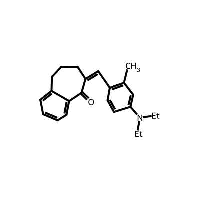 CCN(CC)c1ccc(C=C2CCCc3ccccc3C2=O)c(C)c1